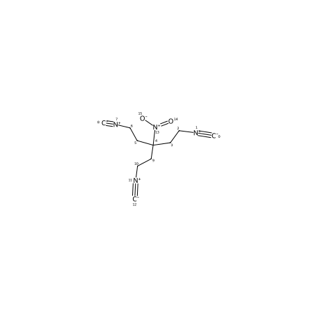 [C-]#[N+]CCC(CC[N+]#[C-])(CC[N+]#[C-])[N+](=O)[O-]